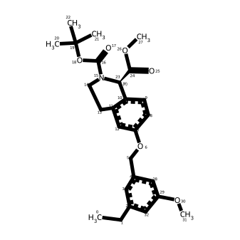 CCc1cc(COc2ccc3c(c2)CCN(C(=O)OC(C)(C)C)[C@H]3C(=O)OC)cc(OC)c1